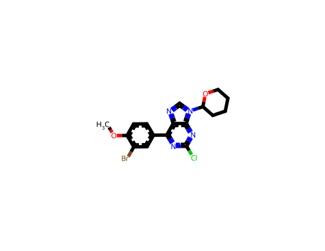 COc1ccc(-c2nc(Cl)nc3c2ncn3C2CCCCO2)cc1Br